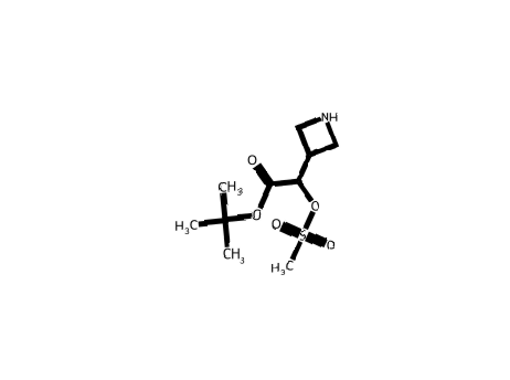 CC(C)(C)OC(=O)C(OS(C)(=O)=O)C1CNC1